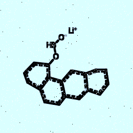 [Li+].[O-]BOc1cccc2ccc3cc4ccccc4cc3c12